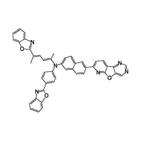 C/C(=C\C=C(/C)N(c1ccc(-c2nc3ccccc3o2)cc1)c1ccc2cc(-c3ccc4c(n3)oc3cncnc34)ccc2c1)c1nc2ccccc2o1